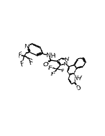 O=C(Nc1ccnc(C(F)(F)F)c1)c1cnn(-c2cc3ccc(=O)[nH]c3c3ccccc23)c1C(F)(F)F